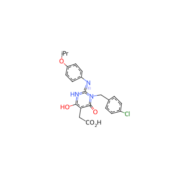 CC(C)Oc1ccc(/N=c2\[nH]c(O)c(CC(=O)O)c(=O)n2Cc2ccc(Cl)cc2)cc1